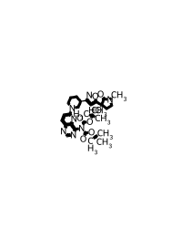 CN1CC[C@@](O)(c2cc([C@@H]3CCCN(c4ccc5ncnc(N(C(=O)OC(C)(C)C)C(=O)OC(C)(C)C)c5n4)C3)no2)C1=O